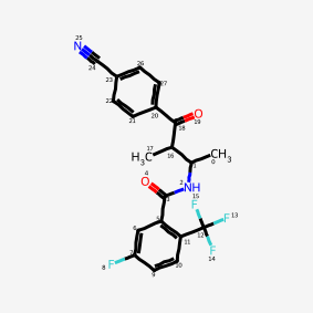 CC(NC(=O)c1cc(F)ccc1C(F)(F)F)C(C)C(=O)c1ccc(C#N)cc1